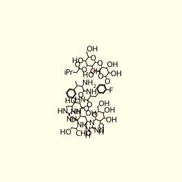 CC(C)CC(=O)OC1C(O)C(CO)OC(OC2C(CO)OC(Oc3ccc(CC(NC(=O)C(N)C(C)c4ccccc4)C(=O)NC(C(=O)NC(C(=O)NC([C]=O)CO)C(O)C4CNC(=N)N4C4OC(CO)C(O)C(O)C4O)C(O)C4CNC(=N)N4)cc3F)C(O)C2O)C1O